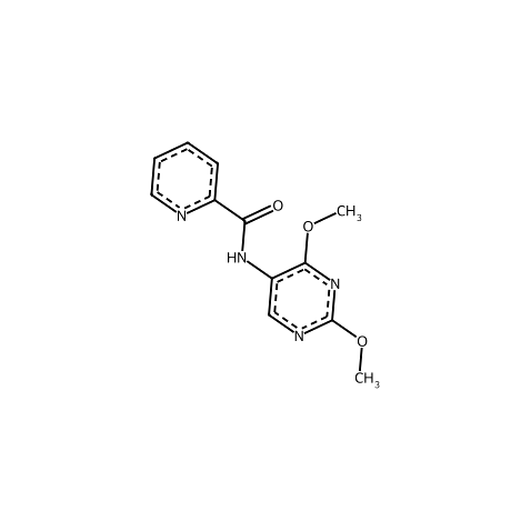 COc1ncc(NC(=O)c2ccccn2)c(OC)n1